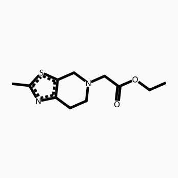 CCOC(=O)CN1CCc2nc(C)sc2C1